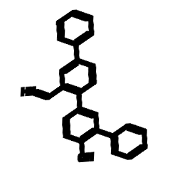 N=Cc1cc(-c2ccccc2)ccc1-c1ccc(O)c(-c2ccccc2)c1